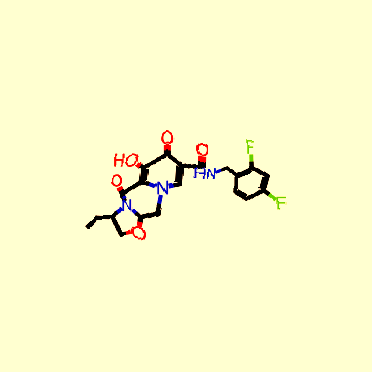 CCC1COC2Cn3cc(C(=O)NCc4ccc(F)cc4F)c(=O)c(O)c3C(=O)N12